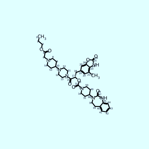 CCCOC(=O)CN1CCC(N2CCN(C(=O)[C@@H](Cc3cc(C)c4[nH]c(=O)oc4c3)OC(=O)N3CCC(N4CCc5ccccc5NC4=O)CC3)CC2)CC1